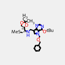 CSC[C@@H](NCc1cn(COCc2ccccc2)c2c(OC(C)(C)C)ncnc12)[C@H]1COC(C)(C)O1